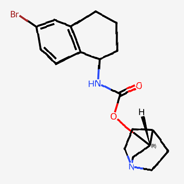 O=C(NC1CCCc2cc(Br)ccc21)O[C@H]1CN2CCC1CC2